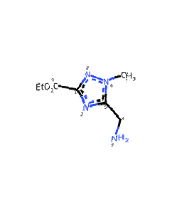 CCOC(=O)c1nc(CN)n(C)n1